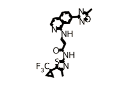 Cc1nc(-c2ccc3ccnc(NC=CC(=O)Nc4nc(C)c(C5(C(F)(F)F)CC5)s4)c3c2)no1